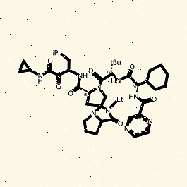 CCN1C(=O)C2CCCN2C12C[C@@H](C(=O)NC(CC(C)C)C(=O)C(=O)NC1CC1)N(C(=O)[C@@H](NC(=O)[C@@H](NC(=O)c1cnccn1)C1CCCCC1)C(C)(C)C)C2